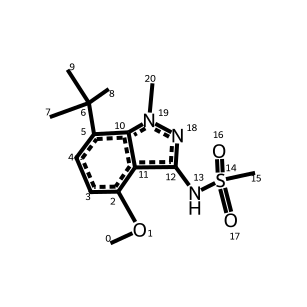 COc1ccc(C(C)(C)C)c2c1c(NS(C)(=O)=O)nn2C